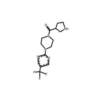 O=C(C1CCNC1)N1CCN(c2ncc(C(F)(F)F)cn2)CC1